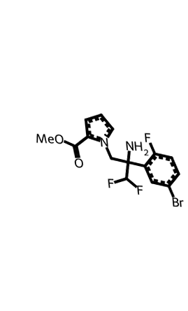 COC(=O)c1cccn1CC(N)(c1cc(Br)ccc1F)C(F)F